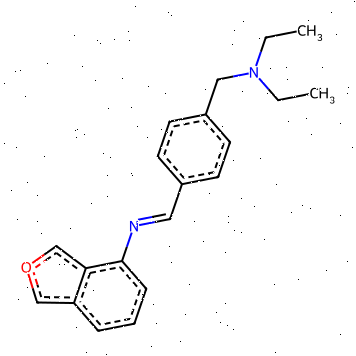 CCN(CC)Cc1ccc(/C=N/c2cccc3cocc23)cc1